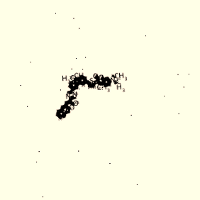 CCN(CC)c1ccc2c(C)c(C3CC=C(c4ccc5c(c4)-c4cc(-c6cnc(-c7cc8cc9ccccc9cc8oc7=O)cn6)ccc4C5(C)C)S3)c(=O)oc2c1